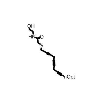 CCCCCCCCC#CCC#CCC#CCSCC(=O)NCCO